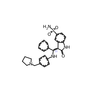 NS(=O)(=O)c1ccc2c(c1)/C(=C(/Nc1ccc(CN3CCCC3)cc1)c1ccccc1)C(=O)N2